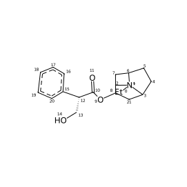 CC[N+]1(C)C2CCC1CC(OC(=O)[C@H](CO)c1ccccc1)C2